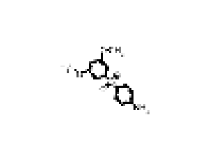 COc1cc(OC)cc(S(=O)(=O)c2ccc(N)cc2)c1